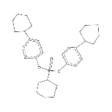 O=P(Oc1ccc(C2CCCCC2)cc1)(Oc1ccc(C2CCCCC2)cc1)C1CCCCC1